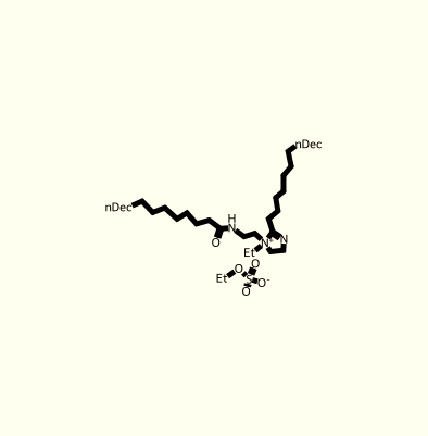 CCCCCCCCCCCCCCCCCC(=O)NCC[N+]1(CC)CCN=C1CCCCCCCCCCCCCCCCC.CCOS(=O)(=O)[O-]